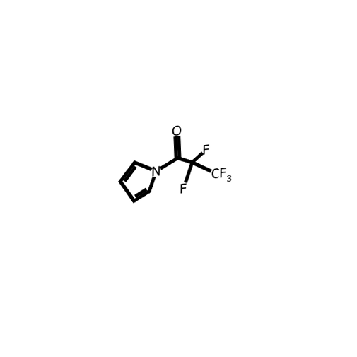 O=C(n1cccc1)C(F)(F)C(F)(F)F